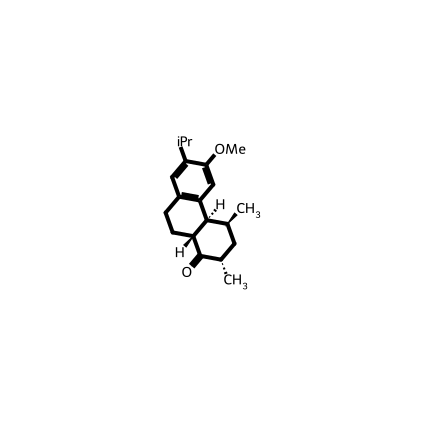 COc1cc2c(cc1C(C)C)CC[C@H]1C(=O)[C@@H](C)C[C@H](C)[C@H]21